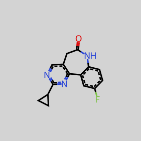 O=C1Cc2cnc(C3CC3)nc2-c2cc(F)ccc2N1